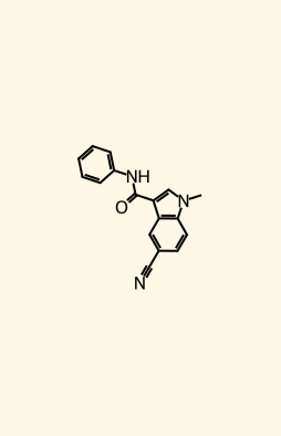 Cn1cc(C(=O)Nc2ccccc2)c2cc(C#N)ccc21